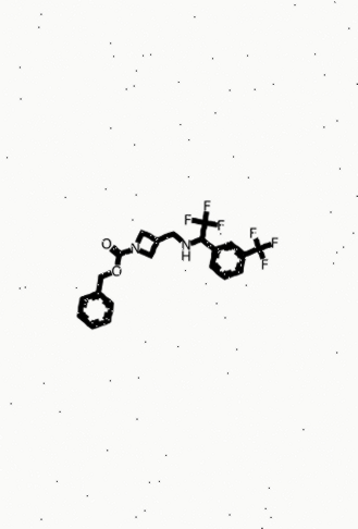 O=C(OCc1ccccc1)N1CC(CNC(c2cccc(C(F)(F)F)c2)C(F)(F)F)C1